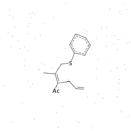 C=CCC(C(C)=O)=C(C)CSc1ccccc1